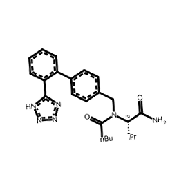 CCCCC(=O)N(Cc1ccc(-c2ccccc2-c2nnn[nH]2)cc1)[C@H](C(N)=O)C(C)C